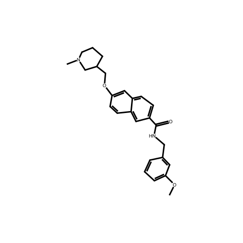 COc1cccc(CNC(=O)c2ccc3cc(OCC4CCCN(C)C4)ccc3c2)c1